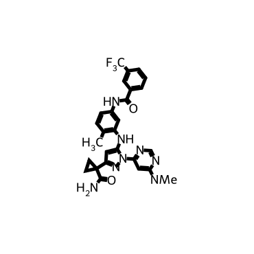 CNc1cc(-n2nc(C3(C(N)=O)CC3)cc2Nc2cc(NC(=O)c3cccc(C(F)(F)F)c3)ccc2C)ncn1